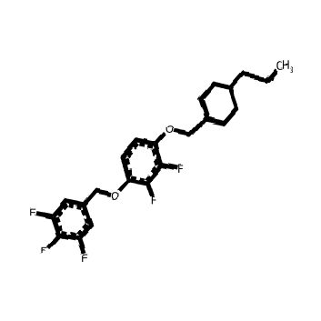 CCCC1CCC(COc2ccc(OCc3cc(F)c(F)c(F)c3)c(F)c2F)CC1